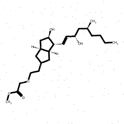 CCCC[C@H](C)C[C@H](O)/C=C/[C@@H]1[C@H]2CC(CCOCC(=O)OC)C[C@H]2C[C@H]1O